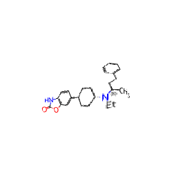 CCN([C@H]1CC[C@H](c2ccc3[nH]c(=O)oc3c2)CC1)[C@H](C)CCc1ccccc1